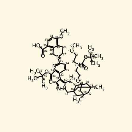 COCCN(CCOC12CC3(C)CC(C)(CC(Cn4ncc(-c5ccc(N6CCc7c(OC)ccc(C(=O)O)c7C6)nc5C(=O)OC(C)(C)C)c4C)(C3)C1)C2)C(=O)OC(C)(C)C